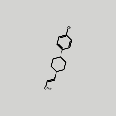 COC=C[C@H]1CC[C@H](c2ccc(C#N)cc2)CC1